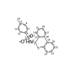 [CH2]C(NS(=O)(=O)c1ccc(C)cc1)c1ccccc1-c1ccccc1